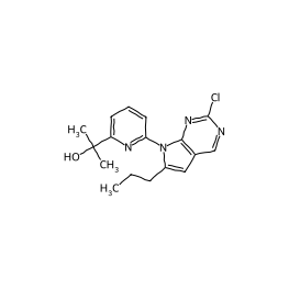 CCCc1cc2cnc(Cl)nc2n1-c1cccc(C(C)(C)O)n1